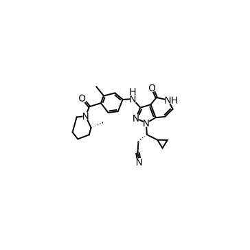 Cc1cc(Nc2nn([C@@H](CC#N)C3CC3)c3cc[nH]c(=O)c23)ccc1C(=O)N1CCCC[C@H]1C